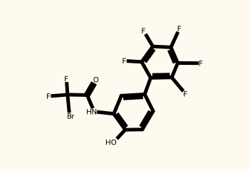 O=C(Nc1cc(-c2c(F)c(F)c(F)c(F)c2F)ccc1O)C(F)(F)Br